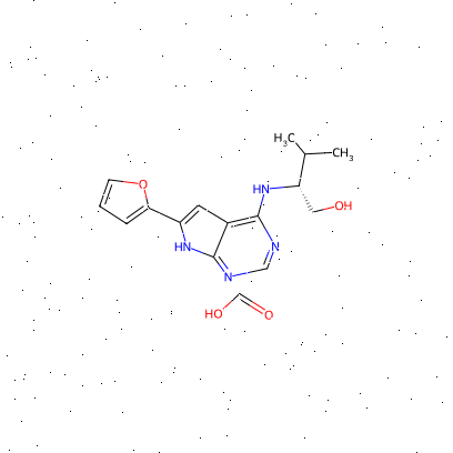 CC(C)[C@H](CO)Nc1ncnc2[nH]c(-c3ccco3)cc12.O=CO